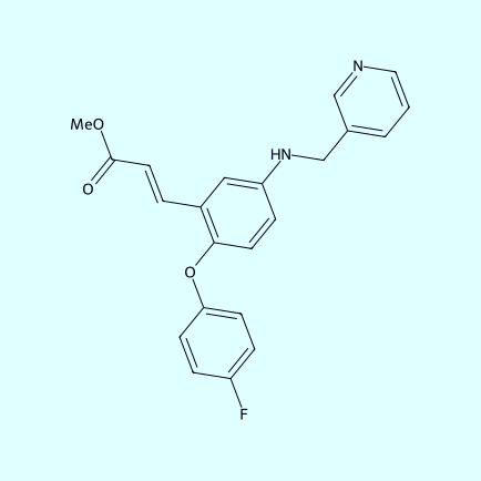 COC(=O)C=Cc1cc(NCc2cccnc2)ccc1Oc1ccc(F)cc1